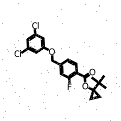 CC(C)(C)C1(OC(=O)c2ccc(COc3cc(Cl)cc(Cl)c3)cc2F)CC1